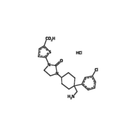 Cl.NCC1(c2cccc(Cl)c2)CCC(N2CCN(c3ccc(C(=O)O)s3)C2=O)CC1